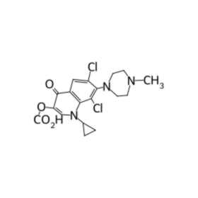 CN1CCN(c2c(Cl)cc3c(=O)c(OC(=O)O)cn(C4CC4)c3c2Cl)CC1